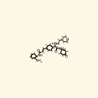 Nc1ccccc1NC(=O)/C=C/c1ccc(C(NCCN2CCOCC2)C(=O)Nc2ccc(Cl)cc2)cc1